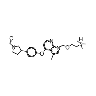 Cc1cn(COCC[SH](C)(C)(C)C)c2nccc(Oc3ccc(C4CCN(C=O)C4)cc3)c12